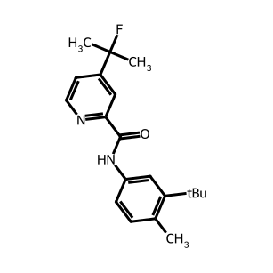 Cc1ccc(NC(=O)c2cc(C(C)(C)F)ccn2)cc1C(C)(C)C